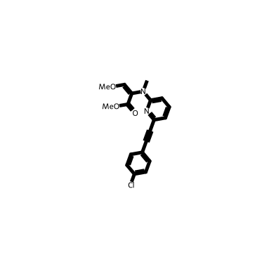 COC=C(C(=O)OC)N(C)c1cccc(C#Cc2ccc(Cl)cc2)n1